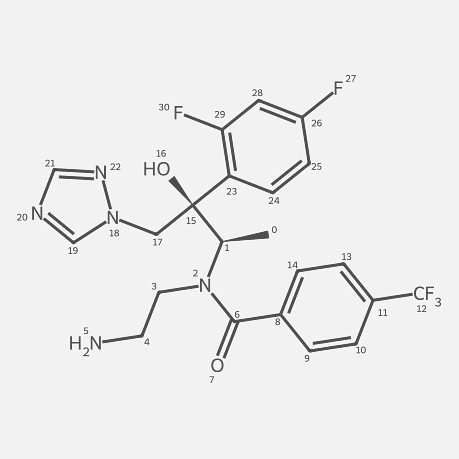 C[C@@H](N(CCN)C(=O)c1ccc(C(F)(F)F)cc1)[C@](O)(Cn1cncn1)c1ccc(F)cc1F